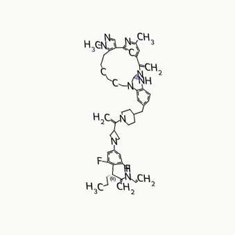 C=CNC(=C)[C@H](CCC)c1c(F)cc(N2CC(C(=C)N3CCC(Cc4ccc5c(c4)N4CCCCCCc6c(cnn6C)-c6cc(cc(C)n6)C(=C)/N=C/4N5)CC3)C2)cc1F